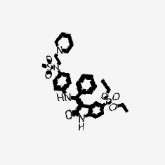 CCOP(=O)(OCC)c1ccc2c(c1)/C(=C(/Nc1ccc(N(CCN3CCCCC3)S(C)(=O)=O)cc1)c1ccccc1)C(=O)N2